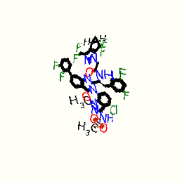 Cn1nc(NS(C)(=O)=O)c2c(Cl)ccc(-n3c([C@H](Cc4cc(F)cc(F)c4)NC(=O)Cn4nc(C(F)F)c5c4C(F)(F)[C@@H]4C[C@H]54)nc4cc(-c5cccc(F)c5F)ccc4c3=O)c21